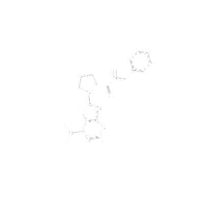 Cc1nc(N(C)C)c2sc(N3CCC[C@@H]3C(=O)NCc3ccccc3)nc2n1